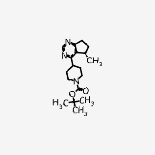 C[C@@H]1CCc2ncnc(C3CCN(C(=O)OC(C)(C)C)CC3)c21